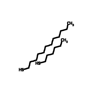 CCCCCCCCCCCCS.CCCCCCS